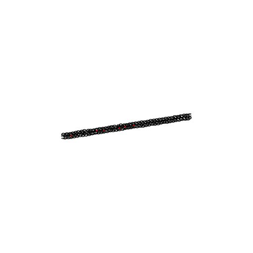 S=S=S=S=S=S=S=S=S=S=S=S=S=S=S=S=S=S=S=S=S=S=S=S=S=S=S=S=S=S=S=S=S=S=S=S=S=S=S=S=S=S=S=S=S=S=S=S=S=S=S=S=S=S=S=S=S=S=S=S=S=S=S=S=S=S=S=S=S=S=S=S=S=S=S=S=S=S=S=S=S=S=S=S=S